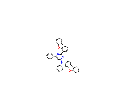 c1ccc(-c2cc(-n3c4ccccc4c4c5oc6ccccc6c5ccc43)nc(-c3cccc4c3oc3ccccc34)n2)cc1